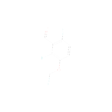 O=Cc1c(F)ccc(OCF)c1F